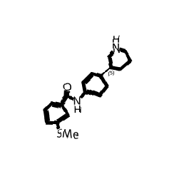 CSc1cccc(C(=O)NC2=CCC([C@@H]3CCCNC3)C=C2)c1